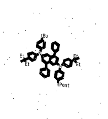 CCCCCc1ccc(N(C2=CC=C(C(C)(CC)CC)CC2)c2cc(-c3ccccc3)c3cc(N(c4ccc(C(C)(C)C)cc4)c4ccc(C(C)(CC)CC)cc4)cc(-c4ccccc4)c3c2)cc1